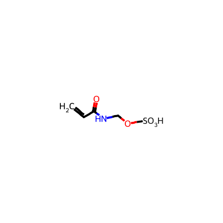 C=CC(=O)NCOS(=O)(=O)O